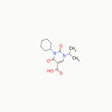 CC(C)n1cc(C(=O)O)c(=O)n(C2CCCCC2)c1=O